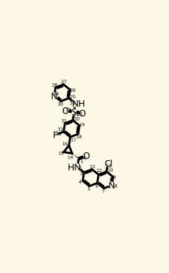 O=C(Nc1ccc2cncc(Cl)c2c1)[C@@H]1CC1c1ccc(S(=O)(=O)Nc2cccnc2)cc1F